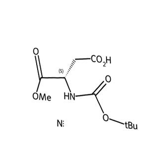 COC(=O)[C@H](CC(=O)O)NC(=O)OC(C)(C)C.[N]